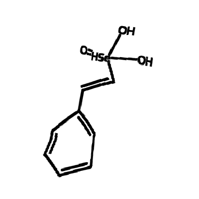 O=[SeH](O)(O)C=Cc1ccccc1